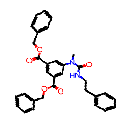 CN(C(=O)NCCc1ccccc1)c1cc(C(=O)OCc2ccccc2)cc(C(=O)OCc2ccccc2)c1